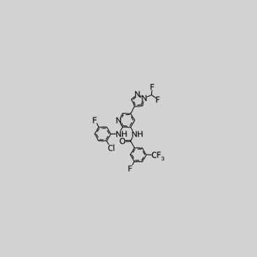 O=C(Nc1cc(-c2cnn(C(F)F)c2)cnc1Nc1cc(F)ccc1Cl)c1cc(F)cc(C(F)(F)F)c1